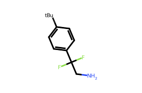 CC(C)(C)c1ccc(C(F)(F)CN)cc1